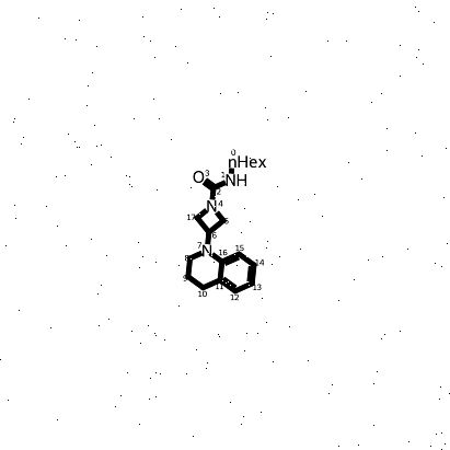 CCCCCCNC(=O)N1CC(N2CCCc3ccccc32)C1